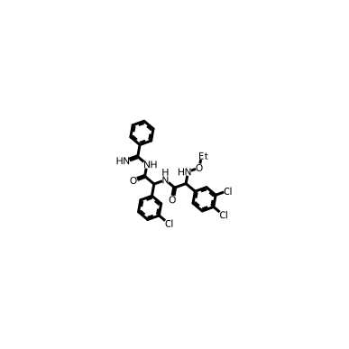 CCONC(C(=O)NC(C(=O)NC(=N)c1ccccc1)c1cccc(Cl)c1)c1ccc(Cl)c(Cl)c1